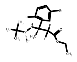 CCOC(=O)C(F)(F)[C@](C)(N[S@+]([O-])C(C)(C)C)c1cc(Br)ccc1F